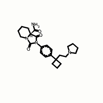 NC(=O)[C@]12[CH]CCCN1C(=O)N(c1ccc(C3(CCN4CCCC4)CCC3)cc1)C2=O